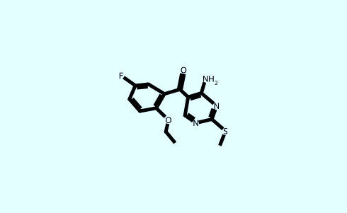 CCOc1ccc(F)cc1C(=O)c1cnc(SC)nc1N